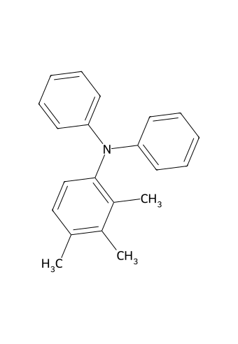 Cc1ccc(N(c2ccccc2)c2ccccc2)c(C)c1C